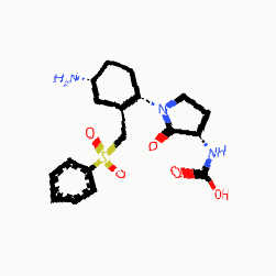 N[C@@H]1CC[C@H](N2CC[C@H](NC(=O)O)C2=O)[C@@H](CS(=O)(=O)c2ccccc2)C1